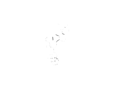 COc1c(CC(NC(=O)CBr)B2OC3CC4CC(C4(C)C)C3(C)O2)cccc1C(=O)OC(C)(C)C